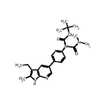 CCc1c(C)[nH]c2ncc(-c3ccc(N(C(=O)OC(C)(C)C)C(=O)N(C)C)cc3)cc12